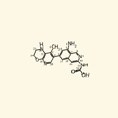 Cc1c(-c2cc(N)c3cnc(NC(=O)O)cc3c2)cnc2c1NCCO2